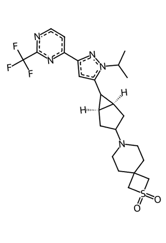 CC(C)n1nc(-c2ccnc(C(F)(F)F)n2)cc1C1[C@H]2CC(N3CCC4(CC3)CS(=O)(=O)C4)C[C@@H]12